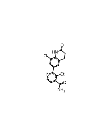 CCc1c(C(N)=O)ccnc1-c1cc(Cl)c2c(c1)CCC(=O)N2